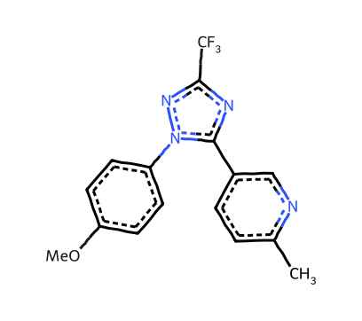 COc1ccc(-n2nc(C(F)(F)F)nc2-c2ccc(C)nc2)cc1